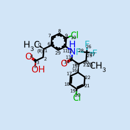 C[C@H](CC(=O)O)c1ccc(Cl)c(NC(=O)[C@H](C2C=CC(Cl)=CC2)[C@@H](C)C(F)(F)F)c1